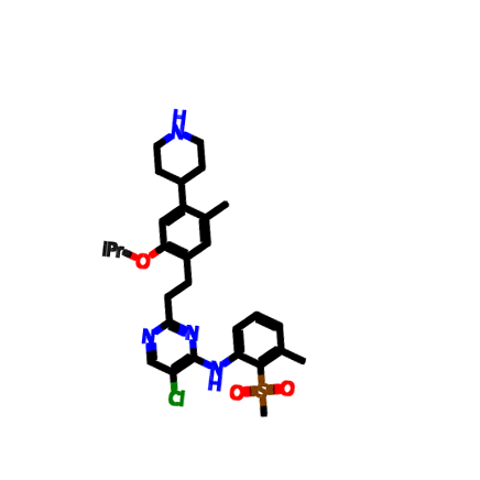 Cc1cc(CCc2ncc(Cl)c(Nc3cccc(C)c3S(C)(=O)=O)n2)c(OC(C)C)cc1C1CCNCC1